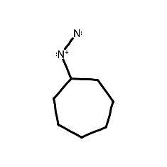 [N][N+]C1CCCCCC1